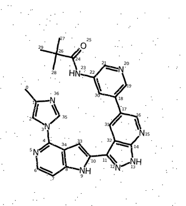 Cc1cn(-c2nccc3[nH]c(-c4n[nH]c5ncc(-c6cncc(NC(=O)C(C)(C)C)c6)cc45)cc23)cn1